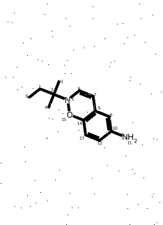 CCC(C)(C)N1C=Cc2cc(N)ccc2O1